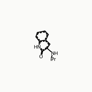 CC(C)Nc1cc2ccccc2[nH]c1=O